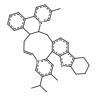 Cc1ccc2[n+](c1)C1Cc3ccc4c5c(sc4c3-c3cc(C)c(C(C)C)c[n+]3/C=C/CC1c1ccccc1-2)CCCC5